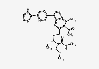 CCCN(C(=O)NC)[C@H](CC)CCc1nc2c(-c3ccc(-c4ncc[nH]4)nc3)cnn2c(N)c1C(C)=O